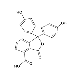 O=C(O)c1cccc2c1C(=O)OC2(c1ccc(O)cc1)c1ccc(O)cc1